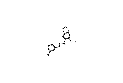 COc1cc2c(cc1C(=O)/C=C/c1cccc(Cl)c1)SCO2